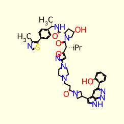 Cc1ncsc1-c1ccc([C@H](C)NC(=O)[C@@H]2C[C@@H](O)CN2C(=O)[C@@H](c2cc(N3CCN(CCC(=O)N4CC(c5c[nH]c6nnc(-c7ccccc7O)cc56)C4)CC3)no2)C(C)C)cc1